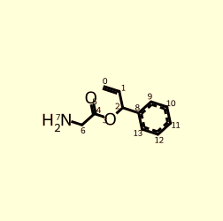 C=CC(OC(=O)CN)c1ccccc1